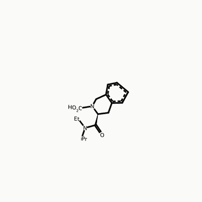 CCN(C(=O)[C@@H]1Cc2ccccc2CN1C(=O)O)C(C)C